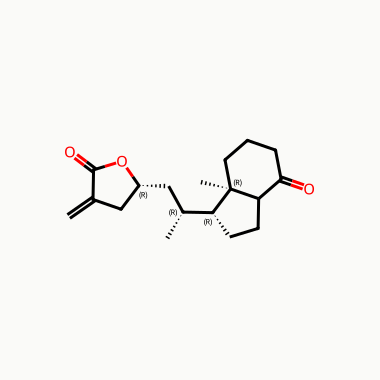 C=C1C[C@@H](C[C@@H](C)[C@H]2CCC3C(=O)CCC[C@@]32C)OC1=O